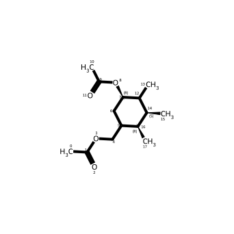 CC(=O)OCC1C[C@@H](OC(C)=O)C(C)[C@@H](C)[C@H]1C